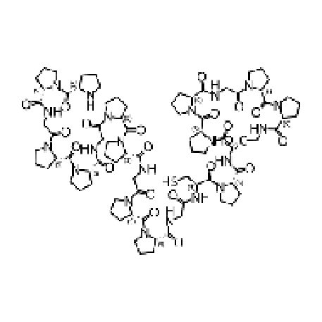 O=C(O)CNC(=O)[C@@H]1CCCN1C(=O)[C@@H]1CCCN1C(=O)CNC(=O)[C@@H]1CCCN1C(=O)[C@@H]1CCCN1C(=O)CNC(=O)[C@@H]1CCCN1C(=O)[C@H](CS)NC(=O)CNC(=O)[C@@H]1CCCN1C(=O)[C@@H]1CCCN1C(=O)CNC(=O)[C@@H]1CCCN1C(=O)[C@@H]1CCCN1C(=O)CNC(=O)[C@@H]1CCCN1C(=O)[C@@H]1CCCN1C(=O)CNC(=O)[C@@H]1CCCN1C(=O)[C@@H]1CCCN1